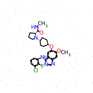 CNC(=O)[C@@H]1CCCN1[C@H]1CC[C@H](Oc2cc3c(Nc4cccc(Cl)c4F)ncnc3cc2OC)CC1